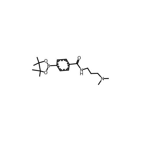 CN(C)CCCNC(=O)c1ccc(B2OC(C)(C)C(C)(C)O2)cc1